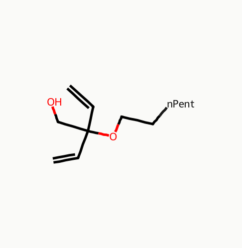 C=CC(C=C)(CO)OCCCCCCC